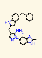 Cc1nc2cc(-n3ncc(Cc4cc5cc(Cc6ccccc6)ccc5[nH]4)c3N)ccc2[nH]1